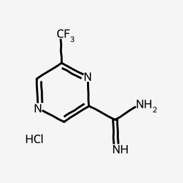 Cl.N=C(N)c1cncc(C(F)(F)F)n1